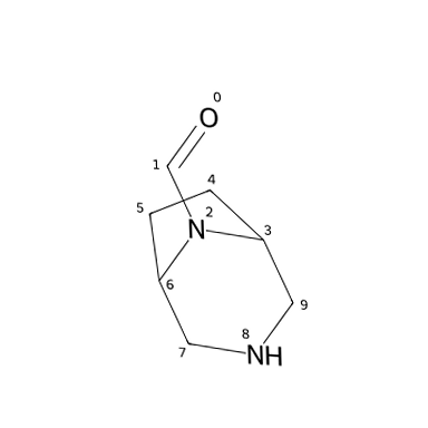 O=CN1C2CCC1CNC2